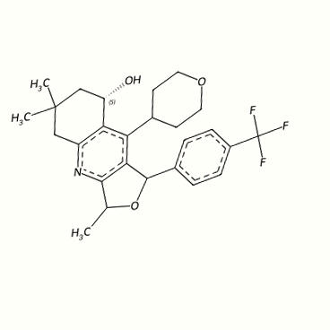 CC1OC(c2ccc(C(F)(F)F)cc2)c2c1nc1c(c2C2CCOCC2)[C@@H](O)CC(C)(C)C1